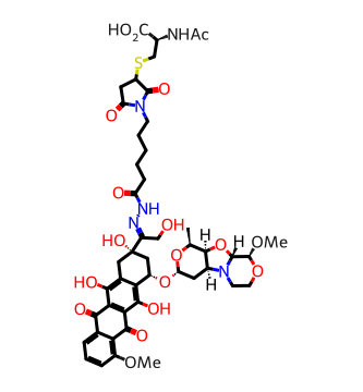 COc1cccc2c1C(=O)c1c(O)c3c(c(O)c1C2=O)C[C@@](O)(/C(CO)=N/NC(=O)CCCCCN1C(=O)CC(SC[C@H](NC(C)=O)C(=O)O)C1=O)C[C@@H]3O[C@H]1C[C@H]2[C@H](O[C@@H]3[C@@H](OC)OCCN32)[C@H](C)O1